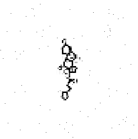 C[C@]12CC[C@H]3[C@@H](CCC4=CC(=O)CC[C@@]43C)[C@@H]1CC[C@@H]2OC(=O)CCC1CCCC1.[Rh]